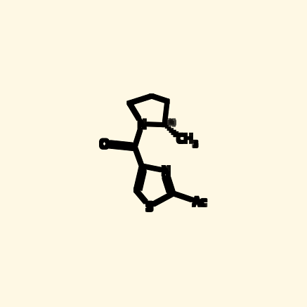 CC(=O)c1nc(C(=O)N2CCC[C@@H]2C)cs1